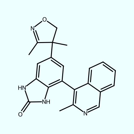 CC1=NOCC1(C)c1cc(-c2c(C)ncc3ccccc23)c2[nH]c(=O)[nH]c2c1